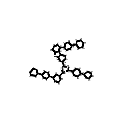 c1ccc(-c2ccc(-c3cccc(-c4nc(-c5ccc(-c6ccccc6)cc5)nc(-c5ccc6c(c5)oc5cccc(-c7ccc(-c8ccccc8)cc7)c56)n4)c3)cc2)cc1